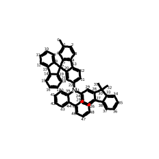 Cc1ccc2c(c1)C1(c3ccccc3-c3ccccc31)c1cc(N(c3ccc4c(c3)C(C)(C)c3ccccc3-4)c3ccccc3-c3ccccc3)ccc1-2